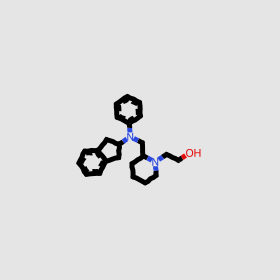 OCCN1CCCCC1CN(c1ccccc1)C1Cc2ccccc2C1